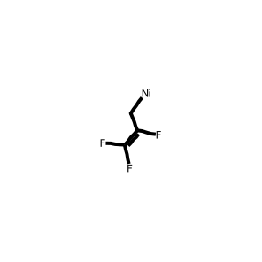 FC(F)=C(F)[CH2][Ni]